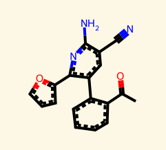 CC(=O)c1ccccc1-c1cc(C#N)c(N)nc1-c1ccco1